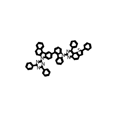 c1ccc(-c2nc(-c3ccccc3)nc(-n3c4ccc(-c5cccc6c5c5ccccc5n6-c5nc(-c6ccccc6)c6c(ccc7cc(-c8ccccc8)sc76)n5)cc4c4c5ccccc5ccc43)n2)cc1